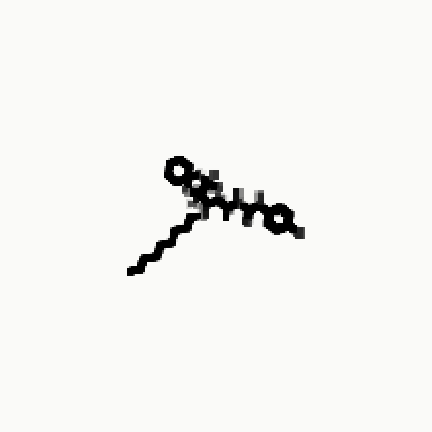 CCCCCCCCCO[C@@H]1[C@H]2OC3(CCCCC3)O[C@H]2O[C@@H]1[C@H](C)NC(=O)Nc1ccc(Cl)cc1